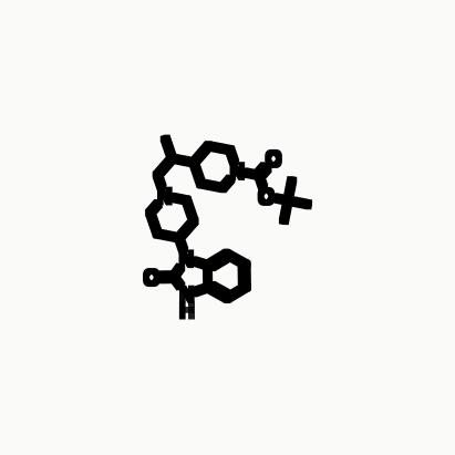 CC(CN1CCC(n2c(=O)[nH]c3ccccc32)CC1)C1CCN(C(=O)OC(C)(C)C)CC1